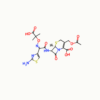 CC(=O)OCC1=C(C(=O)O)N2C(=O)C(NC(=O)/C(=N\OC(C)(C)C(=O)O)c3csc(N)n3)[C@H]2SC1